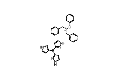 c1cc(B(c2cc[nH]n2)c2cc[nH]n2)n[nH]1.c1ccc([CH2][Zr]([CH2]c2ccccc2)[O]c2ccccc2)cc1